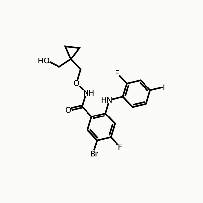 O=C(NOCC1(CO)CC1)c1cc(Br)c(F)cc1Nc1ccc(I)cc1F